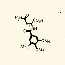 COc1cc(C(=O)N[C@@H](CC(N)=O)C(=O)O)cc(OC)c1OC